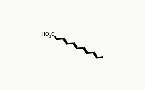 C/C=C/C=C/C=C/C=C/CC(=O)O